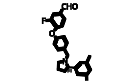 Cc1cc(C)cc([C@H]2CCCN2Cc2ccc(Oc3ccc(C=O)cc3F)cc2)c1